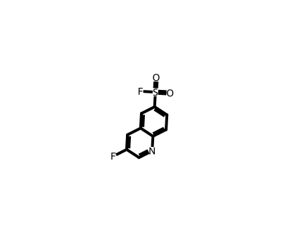 O=S(=O)(F)c1ccc2ncc(F)cc2c1